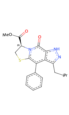 COC(=O)[C@@H]1CSc2c(-c3ccccc3)c3c(CC(C)C)n[nH]c3c(=O)n21